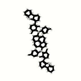 Cc1ccc(N(c2c(C)ccc(-c3cccc4c3sc3ccccc34)c2C)c2ccc3ccc4c(N(c5ccc(C)cc5)c5c(C)ccc(-c6cccc7c6sc6ccccc67)c5C)ccc5ccc2c3c54)cc1